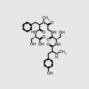 CNC(Cc1ccc(O)cc1)C(=O)N[C@H](CO)C(=O)NCC(=O)N(C)C(Cc1ccccc1)C(=O)N[C@H](CO)C(=O)O